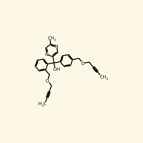 CC#CCOCc1ccc(C(O)(c2cnc(C)cn2)c2ccccc2COCC#CC)cc1